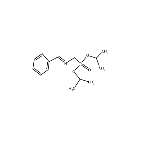 CC(C)OP(=O)(CN=Cc1ccccc1)OC(C)C